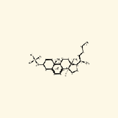 CC[Si](CC)(CC)OC1CC[C@@]2(C)C(=CC=C3[C@@H]4CC[C@H]([C@H](C)CCCC(C)C)[C@@]4(C)CC[C@@H]32)C1